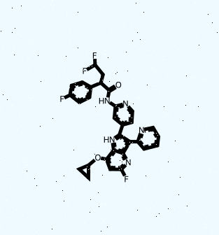 O=C(Nc1cc(-c2[nH]c3c(OC4CC4)cc(F)nc3c2-c2ccccn2)ccn1)C(CC(F)F)c1ccc(F)cc1